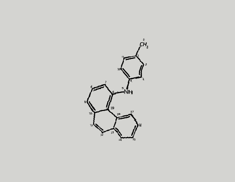 Cc1ccc(Nc2cccc3ccc4ccccc4c23)cc1